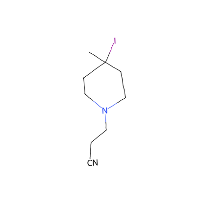 CC1(I)CCN(CCC#N)CC1